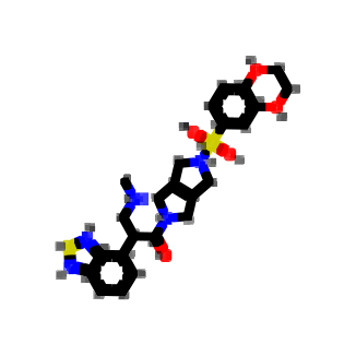 CNCC(C(=O)N1CC2=C(C1)CN(S(=O)(=O)c1ccc3c(c1)OCCO3)C2)c1cccc2nsnc12